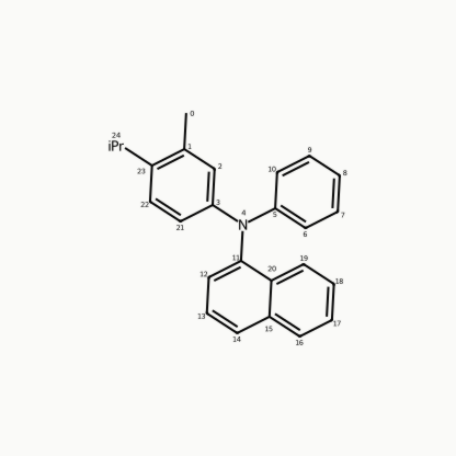 Cc1cc(N(c2ccccc2)c2cccc3ccccc23)ccc1C(C)C